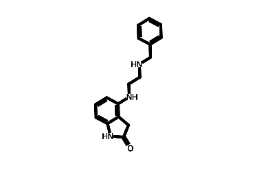 O=C1Cc2c(NCCNCc3ccccc3)cccc2N1